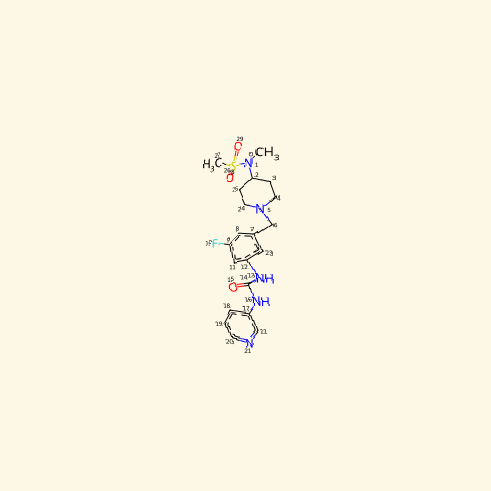 CN(C1CCN(Cc2cc(F)cc(NC(=O)Nc3cccnc3)c2)CC1)S(C)(=O)=O